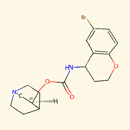 O=C(NC1CCOc2ccc(Br)cc21)O[C@@H]1CN2CCC1CC2